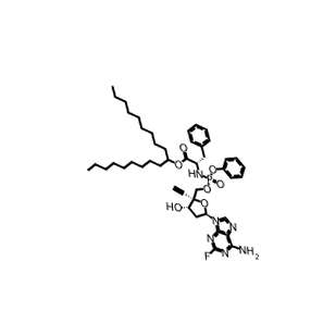 C#C[C@]1(COP(=O)(N[C@@H](Cc2ccccc2)C(=O)OC(CCCCCCCCC)CCCCCCCCC)Oc2ccccc2)O[C@@H](n2cnc3c(N)nc(F)nc32)C[C@@H]1O